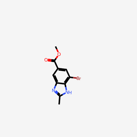 COC(=O)c1cc(Br)c2[nH]c(C)nc2c1